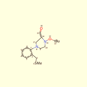 CSCc1ccccc1N1CCN(OC(C)(C)C)C(=C=O)C1